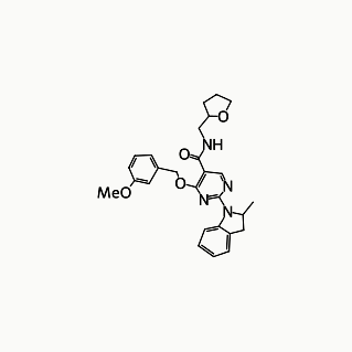 COc1cccc(COc2nc(N3c4ccccc4CC3C)ncc2C(=O)NCC2CCCO2)c1